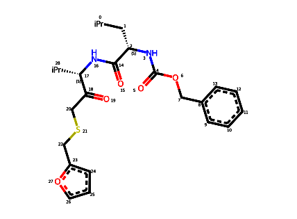 CC(C)C[C@H](NC(=O)OCc1ccccc1)C(=O)N[C@H](C(=O)CSCc1ccco1)C(C)C